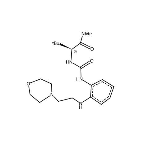 CNC(=O)[C@@H](NC(=O)Nc1ccccc1NCCN1CCOCC1)C(C)(C)C